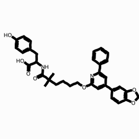 CC(C)(CCCCOc1cc(-c2ccc3c(c2)OCO3)cc(-c2ccccc2)n1)C(=O)NC(Cc1ccc(O)cc1)C(=O)O